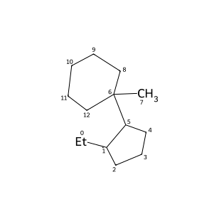 CC[C]1CCCC1C1(C)CCCCC1